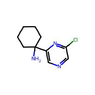 NC1(c2cncc(Cl)n2)CCCCC1